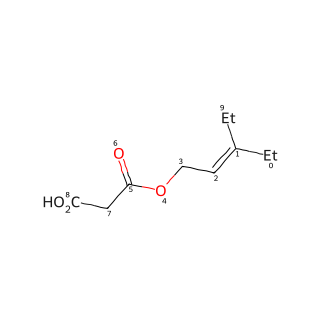 CCC(=CCOC(=O)CC(=O)O)CC